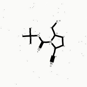 CC(C)(C)OC(=O)N1C(C#N)CCC1CF